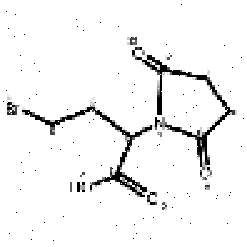 O=C(O)C(CCBr)N1C(=O)CCC1=O